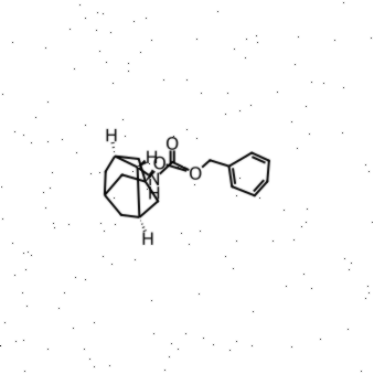 CO[C@]12CC3C[C@H](C1)[C@@H](NC(=O)OCc1ccccc1)[C@@H](C3)C2